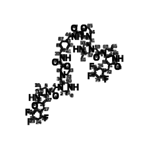 C[C@@H]1CN(CC(=O)N2CC(C)(C)c3[nH]c(=O)c(Cc4cc(F)c(F)cc4F)cc32)[C@@H](CN2CCO[C@H](C(=O)NCc3ccc(CNC(=O)[C@@H]4CN(C[C@H]5CN[C@H](C)CN5CC(=O)N5CC(C)(C)c6[nH]c(=O)c(Cc7cc(F)c(F)cc7F)cc65)CCO4)cc3)C2)CN1